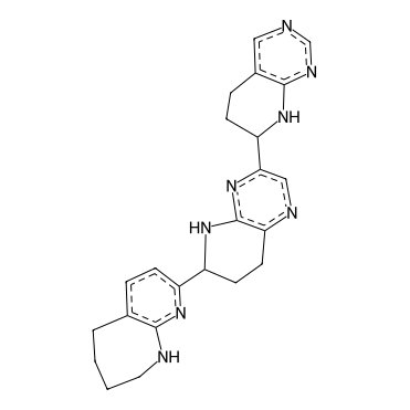 c1ncc2c(n1)NC(c1cnc3c(n1)NC(c1ccc4c(n1)NCCCC4)CC3)CC2